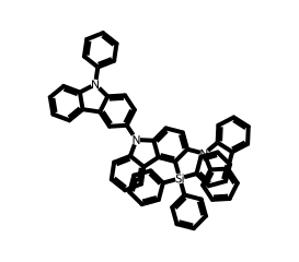 c1ccc(-n2c3ccccc3c3cc(-n4c5ccccc5c5c([Si](c6ccccc6)(c6ccccc6)c6ccccc6)c(-n6c7ccccc7c7ccccc76)ccc54)ccc32)cc1